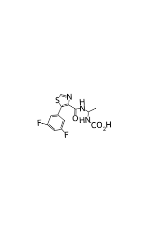 CC(NC(=O)O)NC(=O)c1ncsc1-c1cc(F)cc(F)c1